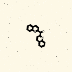 O=C(c1ccc2ccccc2n1)c1ccc2ccccc2n1